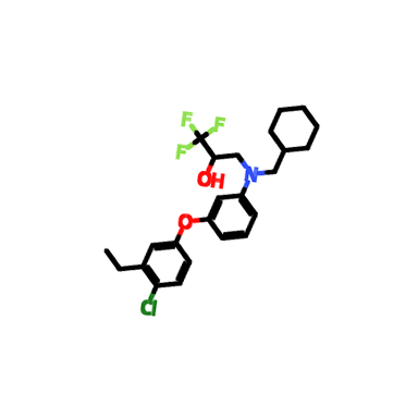 CCc1cc(Oc2cccc(N(CC3CCCCC3)CC(O)C(F)(F)F)c2)ccc1Cl